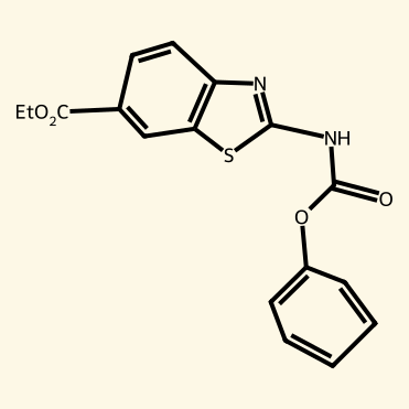 CCOC(=O)c1ccc2nc(NC(=O)Oc3ccccc3)sc2c1